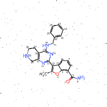 Cc1oc2c(C(N)=O)cccc2c1-c1nc2c(c(NCc3ccccc3)n1)CCNC2